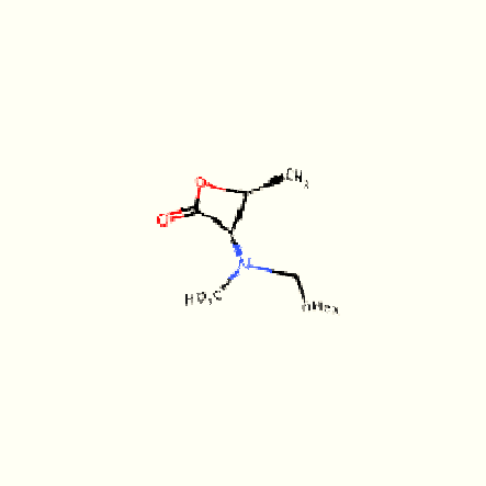 CCCCCCCN(C(=O)O)[C@H]1C(=O)O[C@H]1C